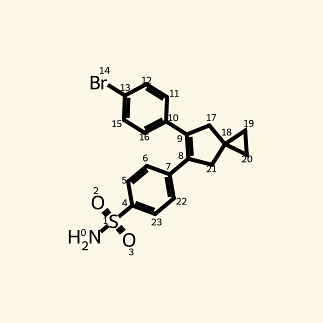 NS(=O)(=O)c1ccc(C2=C(c3ccc(Br)cc3)CC3(CC3)C2)cc1